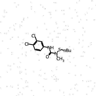 CCCCSN(C)C(=O)Nc1ccc(Cl)c(Cl)c1